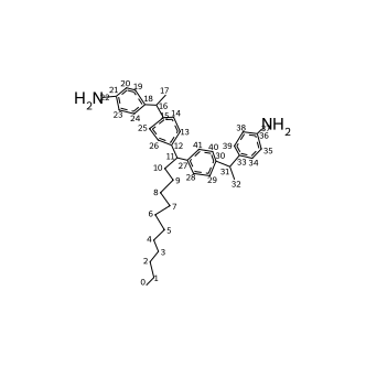 CCCCCCCCCCCC(c1ccc(C(C)c2ccc(N)cc2)cc1)c1ccc(C(C)c2ccc(N)cc2)cc1